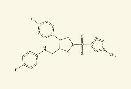 Cn1cnc(S(=O)(=O)N2CC(CNc3ccc(F)cc3)C(c3ccc(F)cc3)C2)c1